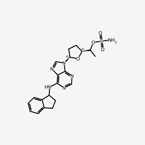 CC(OS(N)(=O)=O)[C@@H]1CC[C@H](n2cnc3c(NC4CCc5ccccc54)ncnc32)O1